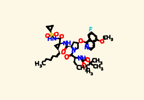 CCCC/C=C\[C@@H]1C[C@]1(NC(=O)[C@@H]1C[C@@H](Oc2nccc3c(OC)cc(F)cc23)CN1C(=O)[C@H](CC)NC(=O)OC(C)(C)C)C(=O)NS(=O)(=O)C1CC1